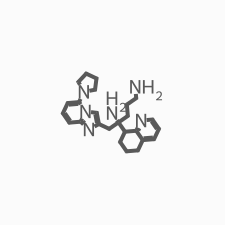 NCCCC(N)(Cc1cn2c(N3CCCC3)cccc2n1)C1CCCc2cccnc21